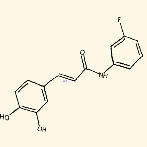 O=C(/C=C/c1ccc(O)c(O)c1)Nc1cccc(F)c1